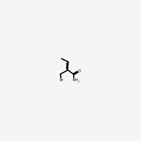 CC=C(CBr)C(N)=O